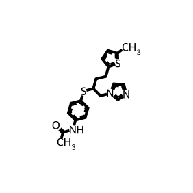 CC(=O)Nc1ccc(SC(CCc2ccc(C)s2)Cn2ccnc2)cc1